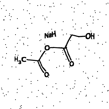 CC(=O)OC(=O)CO.[NaH]